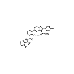 CNC(=O)c1c(-c2ccc(F)cc2)oc2ccc(-c3cccc(C(=O)NC4(c5ccccc5Cl)CC4)c3OC)cc12